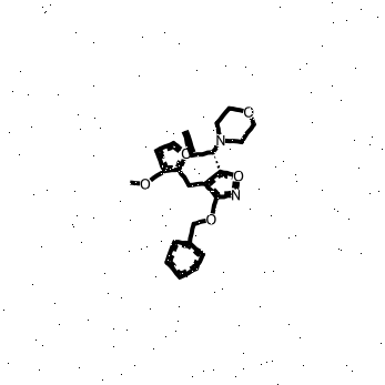 C=C[C@@H](c1onc(OCc2ccccc2)c1Cc1occc1OC)N1CCOCC1